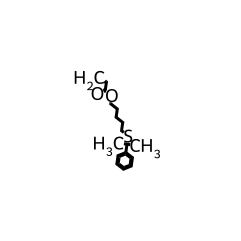 C=CC(=O)OCCCCCSC(C)(C)c1ccccc1